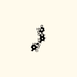 Cc1ccc(NC(=O)NCc2ccc3c(c2)C(=O)N(C2CCC(=O)NC2=O)C3)c(Cl)c1Cl